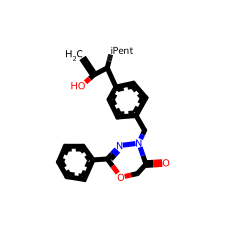 C=C(O)C(c1ccc(CN2N=C(c3ccccc3)OCC2=O)cc1)C(C)CCC